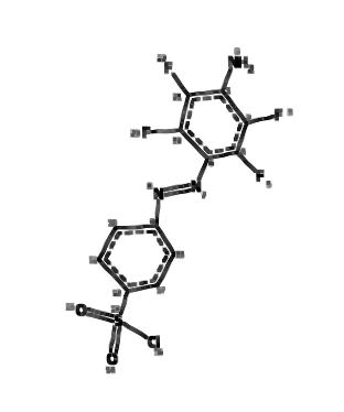 Nc1c(F)c(F)c(N=Nc2ccc(S(=O)(=O)Cl)cc2)c(F)c1F